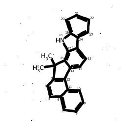 CC1(C)c2ccc3ccccc3c2-c2ccc3c([nH]c4ccccc43)c21